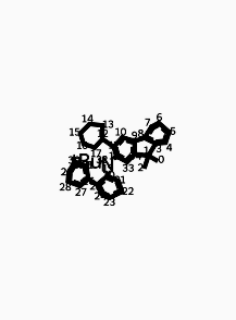 CC1(C)c2ccccc2-c2cc(C3CCCCC3)c(N(c3ccccc3-c3ccccc3)C(C)(C)C)cc21